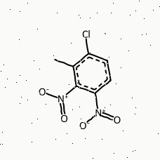 Cc1c(Cl)ccc([N+](=O)[O-])c1[N+](=O)[O-]